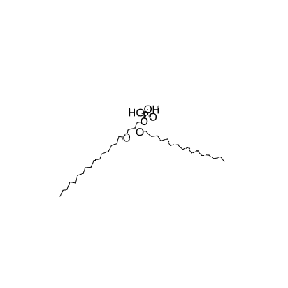 CCCCCCCCCCCCCCCCOCC(COP(=O)(O)O)OCCCCCCCCCCCCCCCC